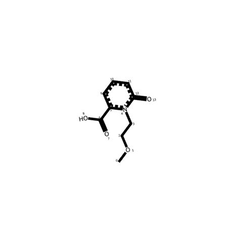 COCCn1c(C(=O)O)cccc1=O